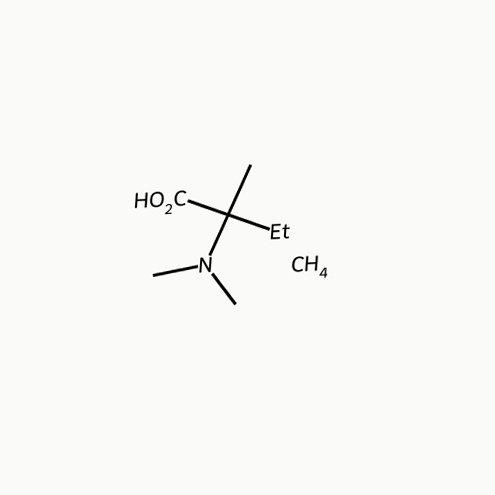 C.CCC(C)(C(=O)O)N(C)C